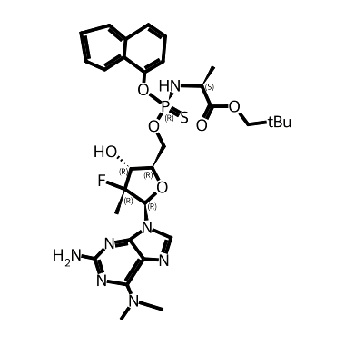 C[C@H](N[P@@](=S)(OC[C@H]1O[C@@H](n2cnc3c(N(C)C)nc(N)nc32)[C@](C)(F)[C@@H]1O)Oc1cccc2ccccc12)C(=O)OCC(C)(C)C